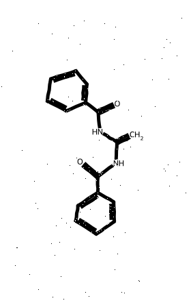 C=C(NC(=O)c1ccccc1)NC(=O)c1ccccc1